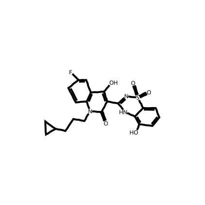 O=c1c(C2=NS(=O)(=O)c3cccc(O)c3N2)c(O)c2cc(F)ccc2n1CCCC1CC1